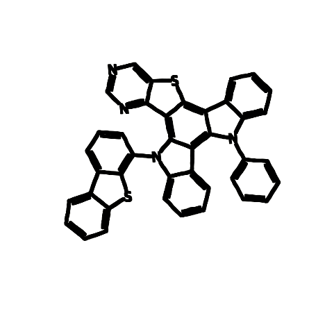 c1ccc(-n2c3ccccc3c3c4sc5cncnc5c4c4c(c5ccccc5n4-c4cccc5c4sc4ccccc45)c32)cc1